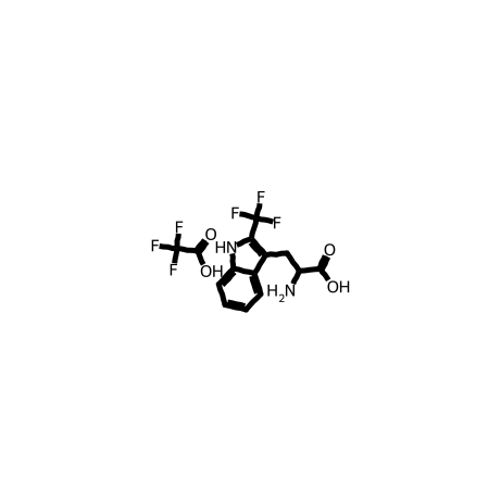 NC(Cc1c(C(F)(F)F)[nH]c2ccccc12)C(=O)O.O=C(O)C(F)(F)F